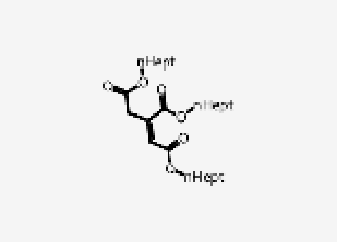 CCCCCCCOC(=O)C=C(CC(=O)OCCCCCCC)C(=O)OCCCCCCC